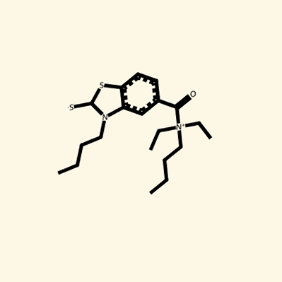 CCCCN1c2cc(C(=O)[N+](CC)(CC)CCCC)ccc2SC1[S]